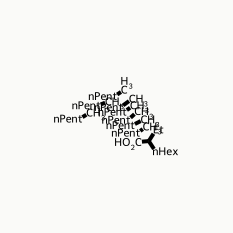 CCCCCC.CCCCCC.CCCCCC.CCCCCC.CCCCCC.CCCCCC.CCCCCC.CCCCCC.CCCCCCC(CC)C(=O)O